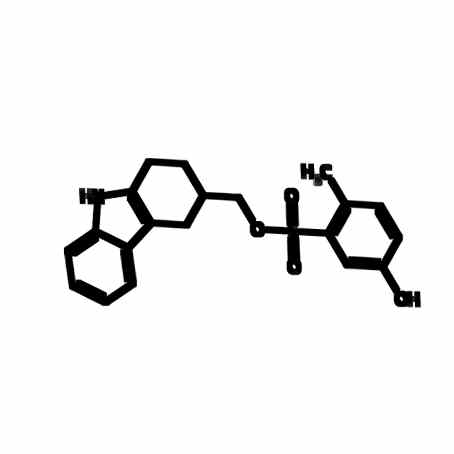 Cc1ccc(O)cc1S(=O)(=O)OCC1CCc2[nH]c3ccccc3c2C1